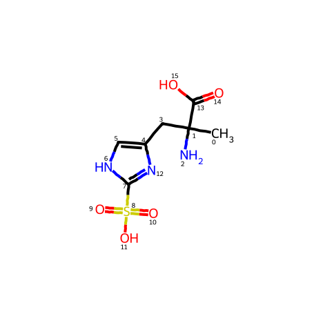 CC(N)(Cc1c[nH]c(S(=O)(=O)O)n1)C(=O)O